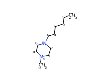 CCCCCCN1CCN(C)CC1